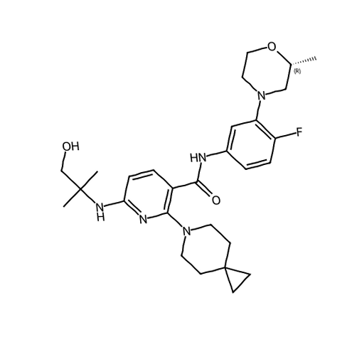 C[C@@H]1CN(c2cc(NC(=O)c3ccc(NC(C)(C)CO)nc3N3CCC4(CC3)CC4)ccc2F)CCO1